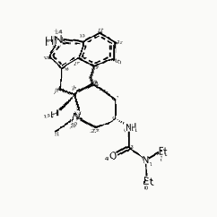 CCN(CC)C(=O)N[C@H]1CC2c3cccc4[nH]cc(c34)C[C@H]2N(C)C1